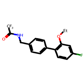 CCOc1cc(F)ccc1-c1ccc(CNC(=O)C(F)(F)F)cc1